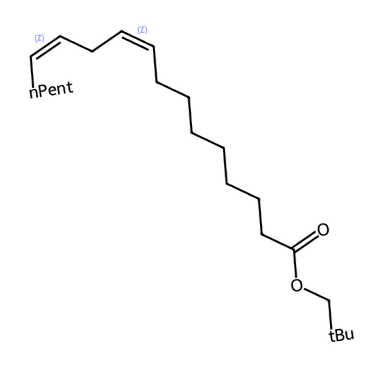 CCCCC/C=C\C/C=C\CCCCCCCC(=O)OCC(C)(C)C